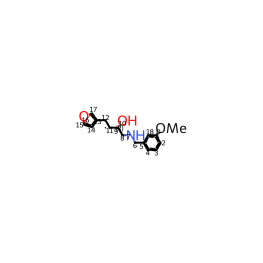 COc1cccc(CNC[C@H](O)[CH]Cc2ccoc2)c1